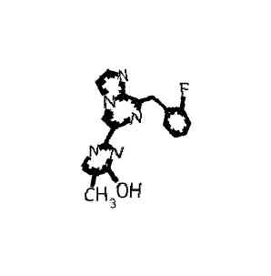 Cc1cnc(-c2cn3ccnc3c(Cc3ccccc3F)n2)nc1O